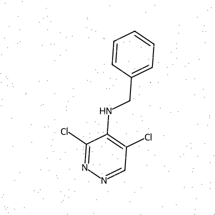 Clc1cnnc(Cl)c1NCc1ccccc1